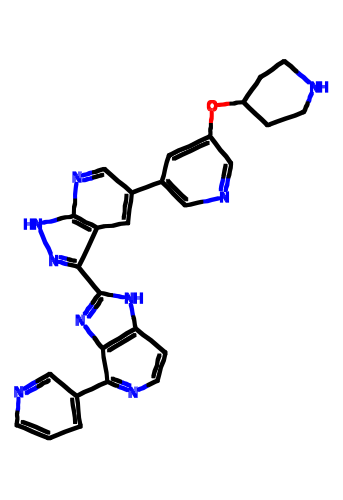 c1cncc(-c2nccc3[nH]c(-c4n[nH]c5ncc(-c6cncc(OC7CCNCC7)c6)cc45)nc23)c1